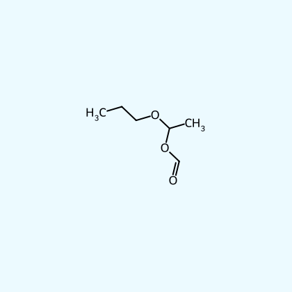 CCCOC(C)OC=O